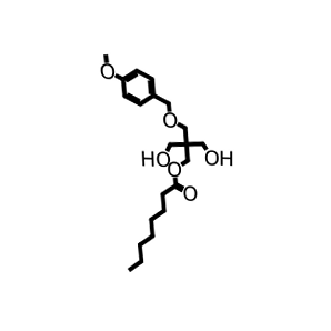 CCCCCCCC(=O)OCC(CO)(CO)COCc1ccc(OC)cc1